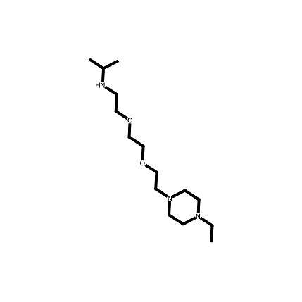 CCN1CCN(CCOCCOCCNC(C)C)CC1